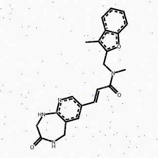 Cc1c(CN(C)C(=O)/C=C/c2cnc3c(c2)CNC(=O)CN3)oc2ccccc12